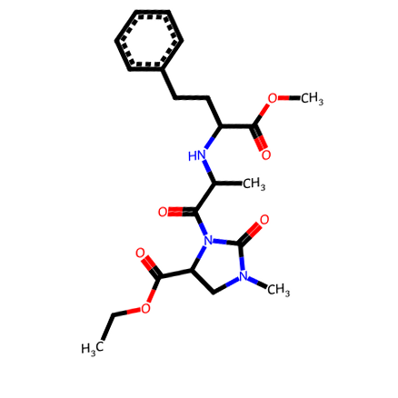 CCOC(=O)C1CN(C)C(=O)N1C(=O)C(C)NC(CCc1ccccc1)C(=O)OC